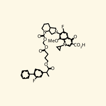 COc1c(N2CC3CCCN(C(=O)OCOC(=O)CCCOC(=O)C(C)c4ccc(-c5ccccc5)c(F)c4)C3C2)c(F)cc2c(=O)c(C(=O)O)cn(C3CC3)c12